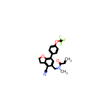 C=CC(=O)N(C)Cc1cc(-c2ccc(OC(F)(F)F)cc2)c2c(c1C#N)CCO2